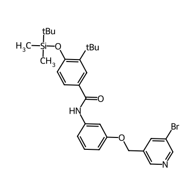 CC(C)(C)c1cc(C(=O)Nc2cccc(OCc3cncc(Br)c3)c2)ccc1O[Si](C)(C)C(C)(C)C